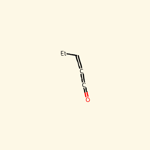 [CH2]CC=C=C=O